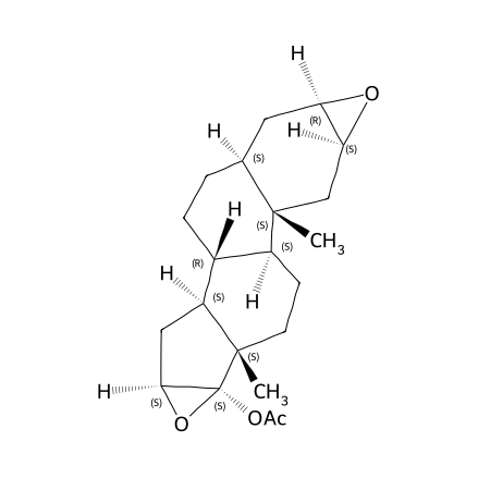 CC(=O)O[C@]12O[C@H]1C[C@H]1[C@@H]3CC[C@H]4C[C@H]5O[C@H]5C[C@]4(C)[C@H]3CC[C@@]12C